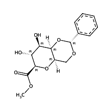 COC(=O)[C@@H]1O[C@@H]2CO[C@@H](c3ccccc3)O[C@@H]2[C@H](O)[C@H]1O